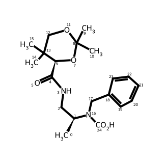 C[C@@H](CNC(=O)[C@@H]1OC(C)(C)OCC1(C)C)N(Cc1ccccc1)C(=O)O